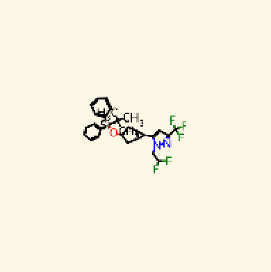 CC(C)(C)[Si](OC1CC2C(C1)C2c1cc(C(F)(F)F)nn1CC(F)F)(c1ccccc1)c1ccccc1